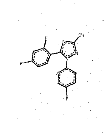 Oc1nc(-c2ccc(F)cc2F)n(-c2ccc(F)cn2)n1